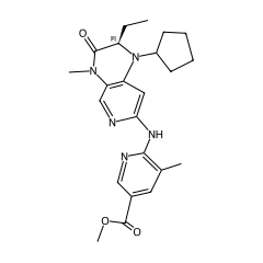 CC[C@@H]1C(=O)N(C)c2cnc(Nc3ncc(C(=O)OC)cc3C)cc2N1C1CCCC1